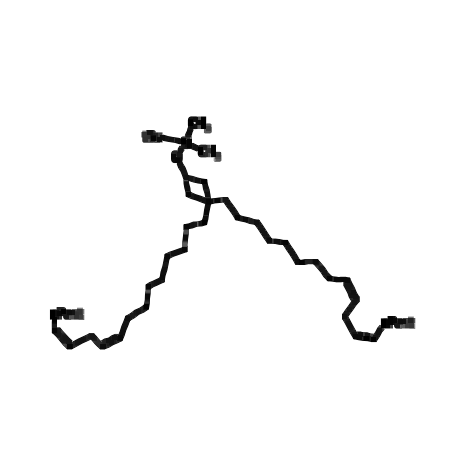 CCCCC/C=C\C/C=C\CCCCCCCCC1(CCCCCCCC/C=C\C/C=C\CCCCC)CC(O[Si](C)(C)C(C)(C)C)C1